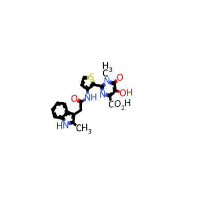 Cc1[nH]c2ccccc2c1CC(=O)Nc1ccsc1-c1nc(C(=O)O)c(O)c(=O)n1C